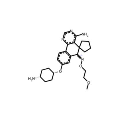 COCCO/N=C1\c2cc(O[C@H]3CC[C@@H](N)CC3)ccc2-c2ncnc(N)c2C12CCCC2